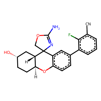 N#Cc1cccc(-c2ccc3c(c2)C2(COC(N)=N2)[C@H]2C[C@@H](O)CC[C@@H]2O3)c1F